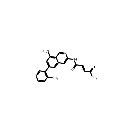 CC(=O)/C=C/C(=O)Nc1cc2cc(-c3cnccc3C)cc(N)c2cn1